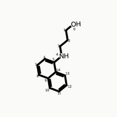 OCCCNc1cccc2ccccc12